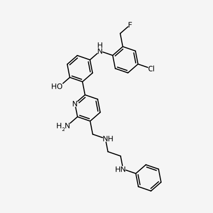 Nc1nc(-c2cc(Nc3ccc(Cl)cc3CF)ccc2O)ccc1CNCCNc1ccccc1